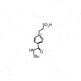 CC(C)(C)NC(=O)c1cc[n+](CCS(=O)(=O)O)nc1